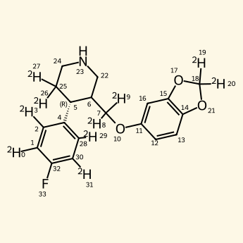 [2H]c1c([2H])c([C@H]2C(C([2H])([2H])Oc3ccc4c(c3)OC([2H])([2H])O4)CNCC2([2H])[2H])c([2H])c([2H])c1F